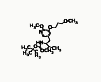 COCCCOc1cc(C[C@H](NC(=O)OC(C)(C)C)C(C)C)cnc1OC